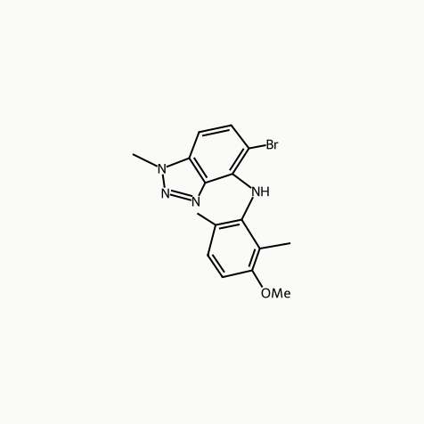 COc1ccc(C)c(Nc2c(Br)ccc3c2nnn3C)c1C